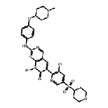 CC(C)n1c(=O)c(-c2ncc(S(=O)(=O)C3CCOCC3)cc2Cl)cc2cnc(Nc3ccc(OC4CCN(C)CC4)cc3)nc21